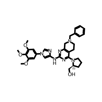 COc1cc(-n2cnc(Nc3nc4c(c(N5CCC[C@H]5CO)n3)CCN(Cc3ccccc3)C4)c2)cc(OC)c1OC